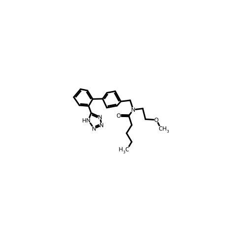 CCCCC(=O)N(CCOC)Cc1ccc(-c2ccccc2-c2nnn[nH]2)cc1